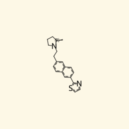 C[C@@H]1CCCN1CCc1ccc2cc(-c3nccs3)ccc2c1